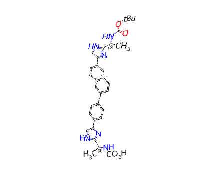 C[C@H](NC(=O)O)c1nc(-c2ccc(-c3ccc4cc(-c5c[nH]c([C@H](C)NC(=O)OC(C)(C)C)n5)ccc4c3)cc2)c[nH]1